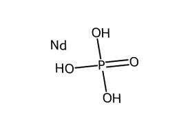 O=P(O)(O)O.[Nd]